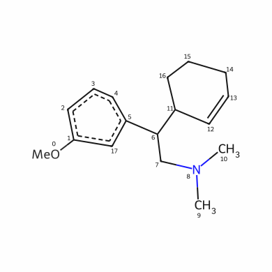 COc1cccc(C(CN(C)C)C2C=CCCC2)c1